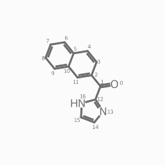 O=C(c1ccc2ccccc2c1)c1ncc[nH]1